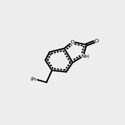 CC(C)Cc1ccc2oc(=O)[nH]c2c1